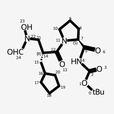 CC(C)(C)OC(=O)NC(=O)[C@@H]1CCCN1C(=O)[C@H](CC1CCCC1)CN(O)C=O